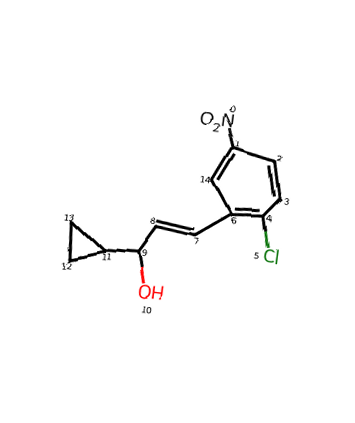 O=[N+]([O-])c1ccc(Cl)c(C=CC(O)C2CC2)c1